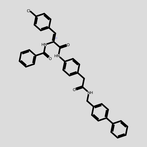 O=C(Cc1ccc(NC(=O)/C(=C/c2ccc(Cl)cc2)NC(=O)c2ccccc2)cc1)NCc1ccc(-c2ccccc2)cc1